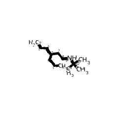 C=C/C=C(\C=C/C)CCNC(C)(C)C